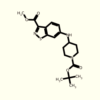 COC(=O)c1nsc2cc(NC3CCN(C(=O)OC(C)(C)C)CC3)ccc12